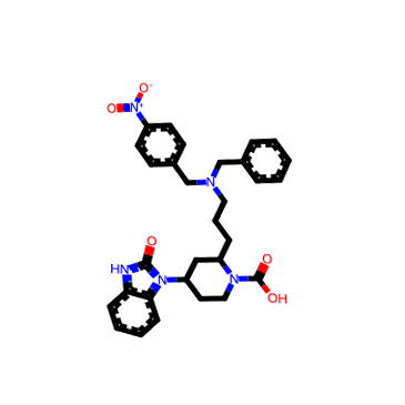 O=C(O)N1CCC(n2c(=O)[nH]c3ccccc32)CC1CCCN(Cc1ccccc1)Cc1ccc([N+](=O)[O-])cc1